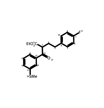 CCOC(=O)C(CCc1ccc(F)cc1)C(=O)c1cccc(SC)c1